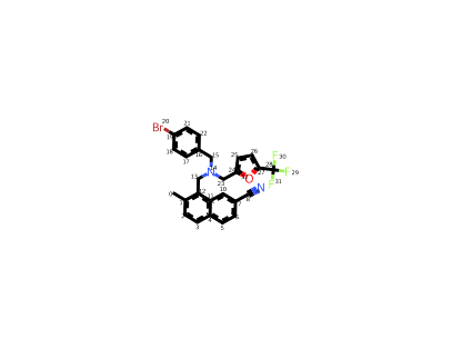 Cc1ccc2ccc(C#N)cc2c1CN(Cc1ccc(Br)cc1)Cc1ccc(C(F)(F)F)o1